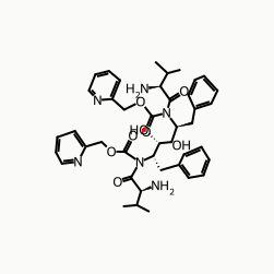 CC(C)[C@H](N)C(=O)N(C(=O)OCc1ccccn1)[C@@H](Cc1ccccc1)[C@H](O)[C@@H](O)[C@H](Cc1ccccc1)N(C(=O)OCc1ccccn1)C(=O)[C@@H](N)C(C)C